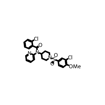 COc1ccc(S(=O)(=O)N2CCC(N(C(=O)c3ccccc3Cl)c3ccccn3)CC2)cc1Cl